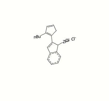 CCCCC1=C(C2=Cc3ccccc3[CH]2[Zr+2])CC=C1.[Cl-].[Cl-]